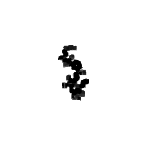 C=CCOC(=O)C(C#N)CC1SC(CCNc2cccc(NC(=O)CN(C)CCOC)c2)C(=O)N1CC